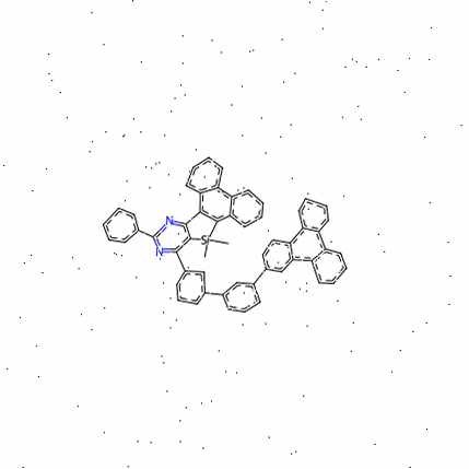 C[Si]1(C)c2c(-c3cccc(-c4cccc(-c5ccc6c7ccccc7c7ccccc7c6c5)c4)c3)nc(-c3ccccc3)nc2-c2c1c1ccccc1c1ccccc21